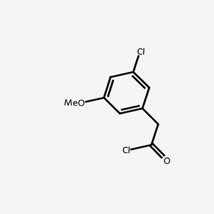 COc1cc(Cl)cc(CC(=O)Cl)c1